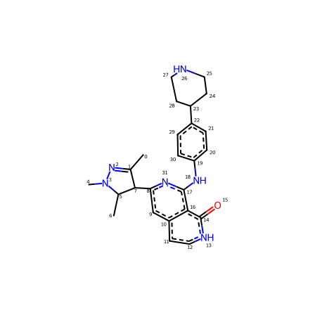 CC1=NN(C)C(C)C1c1cc2cc[nH]c(=O)c2c(Nc2ccc(C3CCNCC3)cc2)n1